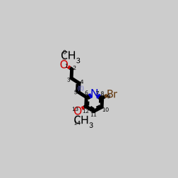 COCC/C=C/c1nc(Br)ccc1OC